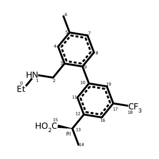 CCNCc1cc(C)ccc1-c1cc([C@@H](C)C(=O)O)cc(C(F)(F)F)c1